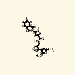 Cc1cc(-c2nnsc2CNC(=O)c2cc(NC(=O)c3cc(F)c(F)cc3Cl)[nH]n2)c(C)o1